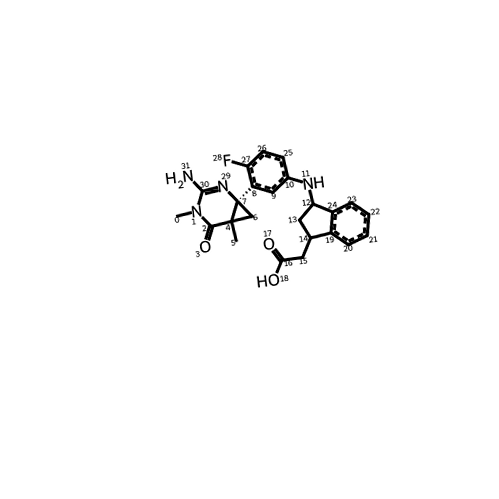 CN1C(=O)C2(C)C[C@]2(c2cc(NC3CC(CC(=O)O)c4ccccc43)ccc2F)N=C1N